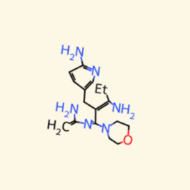 C=C(N)/N=C(\C(Cc1ccc(N)nc1)=C(/N)CC)N1CCOCC1